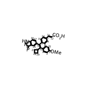 COc1ccc(C(=C(c2ccc(C=CC(=O)O)cc2)c2ccc3[nH]nc(F)c3c2)C2CCC2)cc1